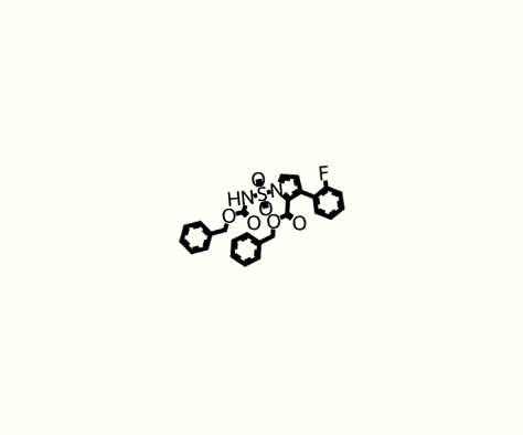 O=C(NS(=O)(=O)n1ccc(-c2ccccc2F)c1C(=O)OCc1ccccc1)OCc1ccccc1